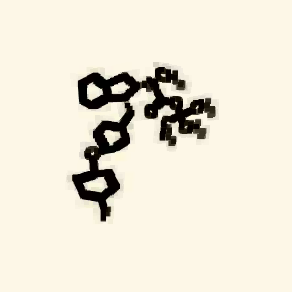 CN(C(=O)OC(C)(C)C)[C@H]1Cc2ccccc2[C@H]1Cc1ccc(Oc2ccc(F)cc2)cc1